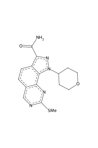 CSc1ncc2ccc3c(C(N)=O)nn(C4CCOCC4)c3c2n1